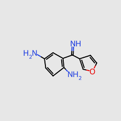 N=C(c1ccoc1)c1cc(N)ccc1N